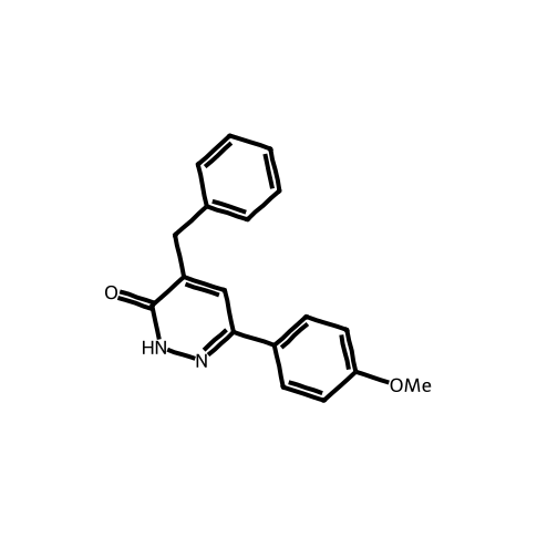 COc1ccc(-c2cc(Cc3ccccc3)c(=O)[nH]n2)cc1